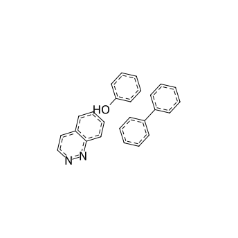 Oc1ccccc1.c1ccc(-c2ccccc2)cc1.c1ccc2nnccc2c1